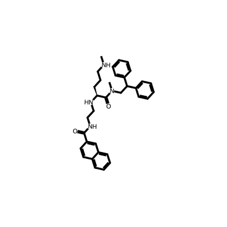 CNCCC[C@H](NCCNC(=O)c1ccc2ccccc2c1)C(=O)N(C)CC(c1ccccc1)c1ccccc1